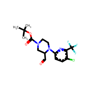 CC(C)(C)OC(=O)N1CCN(c2ccc(Cl)c(C(F)(F)F)n2)C(C=O)C1